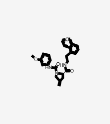 C=C1C[C@@H](C(=O)NCCc2cccc3ccccc23)N(C(=O)Nc2cccc(OC)c2)C1